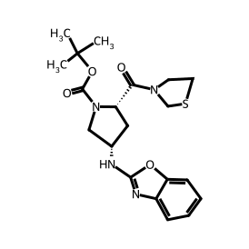 CC(C)(C)OC(=O)N1C[C@@H](Nc2nc3ccccc3o2)C[C@H]1C(=O)N1CCSC1